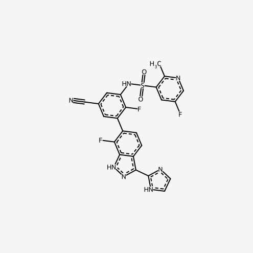 Cc1ncc(F)cc1S(=O)(=O)Nc1cc(C#N)cc(-c2ccc3c(-c4ncc[nH]4)n[nH]c3c2F)c1F